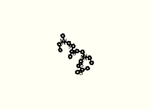 c1ccc(-c2cccc(-c3nc(-c4cccc(-c5ccc6c(c5)oc5c(-c7ccccc7)ccc(-c7cccc8c7sc7cc(-c9nc(-c%10ccccc%10)nc(-c%10cccc(-c%11ccccc%11)c%10)n9)ccc78)c56)c4)nc(-c4ccc5c(c4)sc4c(-c6cc(-c7ccccc7)cc7oc8ccccc8c67)cccc45)n3)c2)cc1